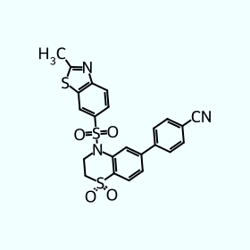 Cc1nc2ccc(S(=O)(=O)N3CCS(=O)(=O)c4ccc(-c5ccc(C#N)cc5)cc43)cc2s1